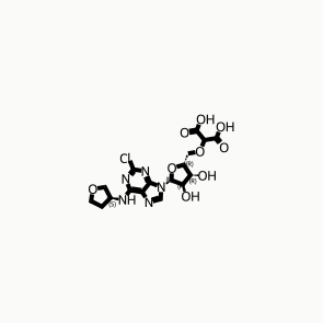 O=C(O)C(OC[C@H]1O[C@@H](n2cnc3c(N[C@H]4CCOC4)nc(Cl)nc32)[C@H](O)[C@H]1O)C(=O)O